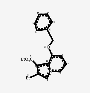 CCOC(=O)c1c(CC)cn2cccc(OCc3ccccc3)c12